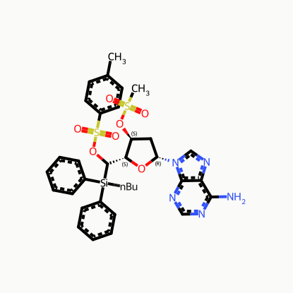 CCCC[Si](c1ccccc1)(c1ccccc1)C(OS(=O)(=O)c1ccc(C)cc1)[C@H]1O[C@@H](n2cnc3c(N)ncnc32)C[C@@H]1OS(C)(=O)=O